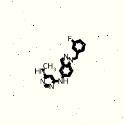 CNc1cc(Nc2ccc3c(cnn3Cc3cccc(F)c3)c2)ncn1